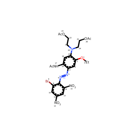 CCOc1cc(/N=N/c2c(Br)cc([N+](=O)[O-])cc2[N+](=O)[O-])c(NC(C)=O)cc1N(CCOC(C)=O)CCOC(C)=O